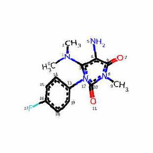 CN(C)c1c(N)c(=O)n(C)c(=O)n1-c1ccc(F)cc1